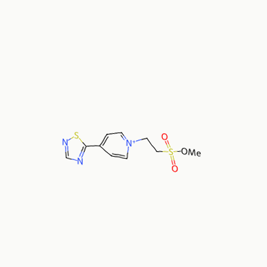 COS(=O)(=O)CC[n+]1ccc(-c2ncns2)cc1